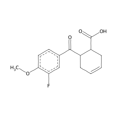 COc1ccc(C(=O)C2CC=CCC2C(=O)O)cc1F